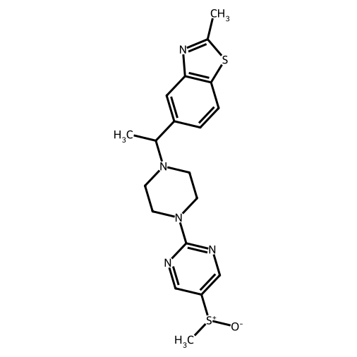 Cc1nc2cc(C(C)N3CCN(c4ncc([S+](C)[O-])cn4)CC3)ccc2s1